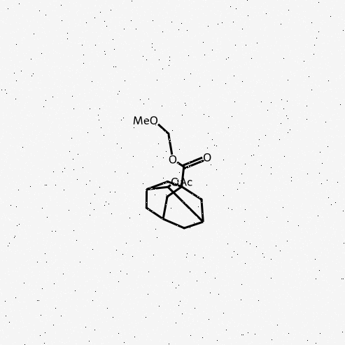 COCOC(=O)C12CC3CC(C1)C(OC(C)=O)C(C3)C2